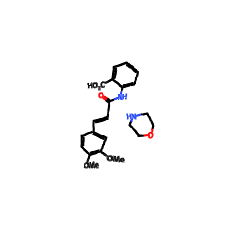 C1COCCN1.COc1ccc(C=CC(=O)Nc2ccccc2C(=O)O)cc1OC